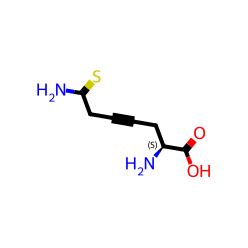 NC(=S)CC#CC[C@H](N)C(=O)O